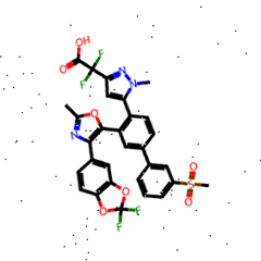 Cc1nc(-c2ccc3c(c2)OC(F)(F)O3)c(-c2cc(-c3cccc(S(C)(=O)=O)c3)ccc2-c2cc(C(F)(F)C(=O)O)nn2C)o1